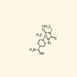 CCN1C(=O)N(CC(=O)O)C(=O)[C@]1(C)c1ccc(C(=N)N)cc1